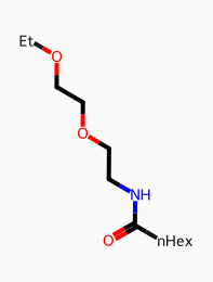 CCCCCCC(=O)NCCOCCOCC